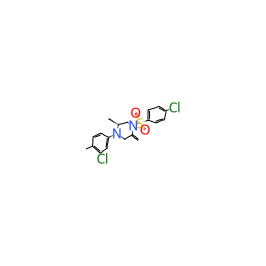 C=C1CN(c2ccc(C)c(Cl)c2)[C@@H](C)CN1S(=O)(=O)c1ccc(Cl)cc1